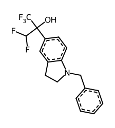 OC(c1ccc2c(c1)CCN2Cc1ccccc1)(C(F)F)C(F)(F)F